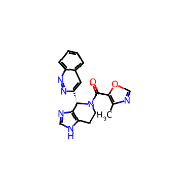 Cc1ncoc1C(=O)N1CCc2[nH]cnc2[C@@H]1c1cc2ccccc2nn1